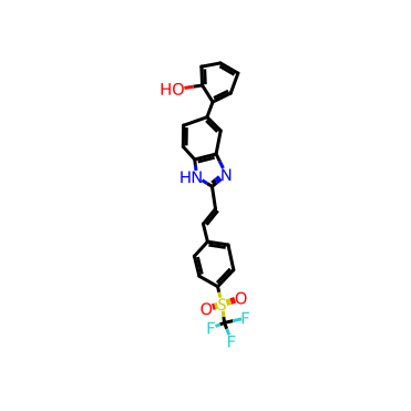 O=S(=O)(c1ccc(/C=C/c2nc3cc(-c4ccccc4O)ccc3[nH]2)cc1)C(F)(F)F